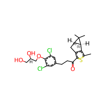 Cc1sc(C(=O)CCc2cc(Cl)c(OC[C@H](O)CO)c(Cl)c2)c2c1[C@H]1[C@@H](C2)C1(C)C